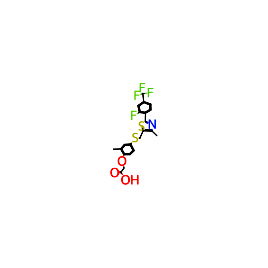 Cc1cc(SCc2sc(-c3ccc(C(F)(F)F)cc3F)nc2C)ccc1OCC(=O)O